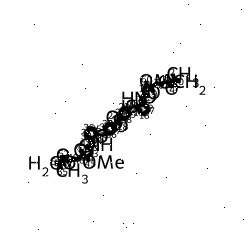 C=C(C)C(=O)OCCC(=O)C(CC(=O)Nc1ccccc1Oc1ccc(S(=O)(=O)c2ccc(Oc3ccccc3NC(=O)CC(OC)C(=O)CCOC(=O)C(=C)C)cc2)cc1)OC